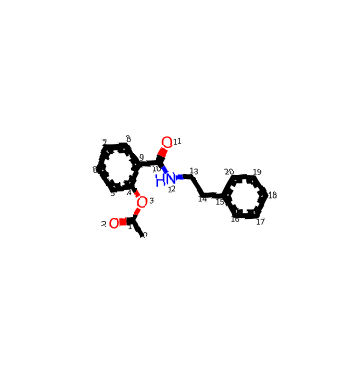 CC(=O)Oc1ccccc1C(=O)NCCc1ccccc1